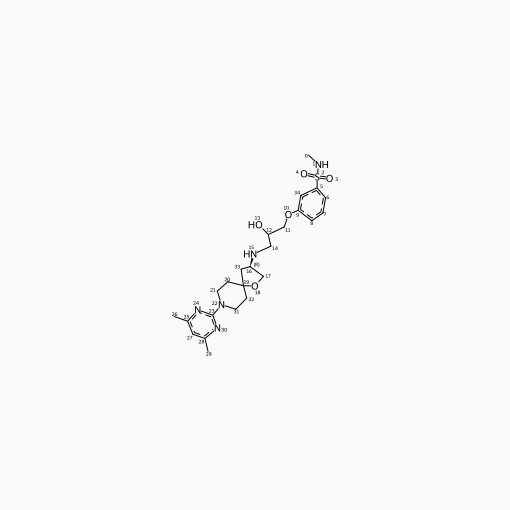 CNS(=O)(=O)c1cccc(OCC(O)CN[C@H]2COC3(CCN(c4nc(C)cc(C)n4)CC3)C2)c1